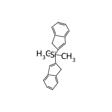 C[Si](C)(C1=Cc2ccccc2C1)C1=Cc2ccccc2C1